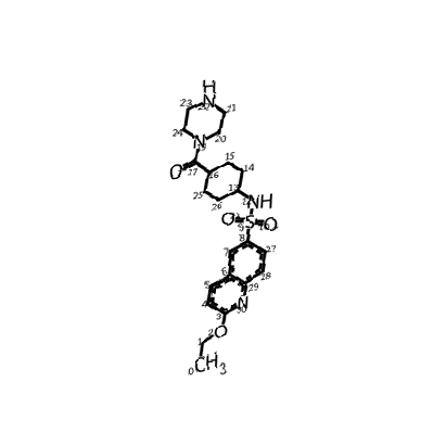 CCOc1ccc2cc(S(=O)(=O)NC3CCC(C(=O)N4CCNCC4)CC3)ccc2n1